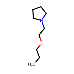 [CH2]CCOCCN1CCCC1